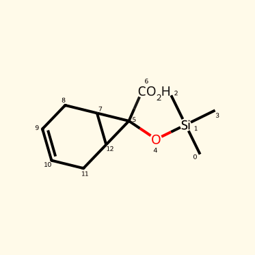 C[Si](C)(C)OC1(C(=O)O)C2CC=CCC21